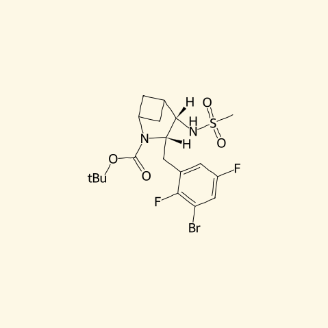 CC(C)(C)OC(=O)N1C2CC(C2)[C@H](NS(C)(=O)=O)[C@@H]1Cc1cc(F)cc(Br)c1F